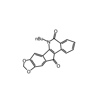 CCCCn1c2c(c3ccccc3c1=O)C(=O)c1cc3c(cc1-2)OCO3